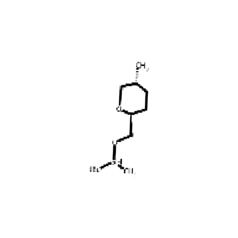 C[C@@H]1CC[C@@H](CO[SiH](C)C(C)(C)C)OC1